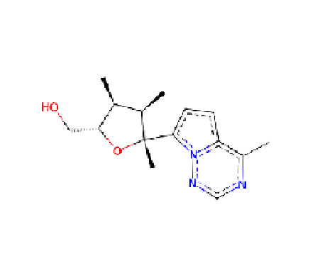 Cc1ncnn2c([C@]3(C)O[C@H](CO)[C@@H](C)[C@H]3C)ccc12